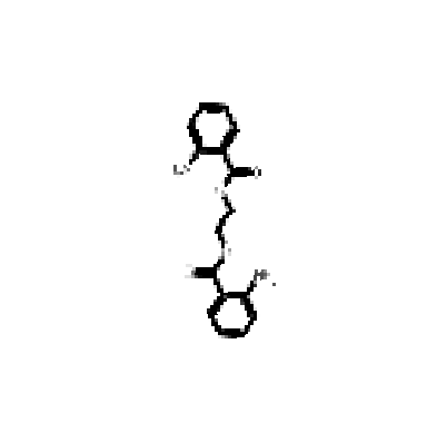 Nc1ccccc1C(=O)OCCOC(=O)c1ccccc1N